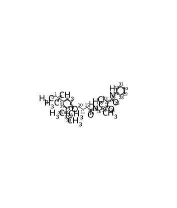 CCC(C)(C)c1ccc(OCCCC(=O)NCC(C)(C)C(=O)C(Cl)C(=O)Nc2ccccc2)c(C(C)(C)CC)c1